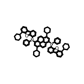 c1ccc(N(c2cc(C3CCCCC3)c3ccc4c(N(c5ccccc5)c5cccc6c5oc5c(C7CCCCC7)cccc56)cc(C5CCCCC5)c5ccc2c3c54)c2cccc3c2oc2c(C4CCCCC4)cccc23)cc1